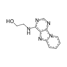 OCCNc1ncnc2c1nc1ccccn12